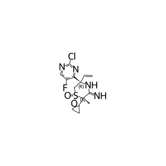 C=C[C@@]1(c2nc(Cl)ncc2F)CS(=O)(=O)[C@@](C)(C2CC2)C(=N)N1